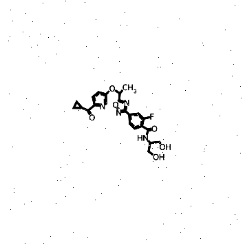 CC(Oc1ccc(C(=O)C2CC2)nc1)c1nc(-c2ccc(C(=O)NC(CO)CO)c(F)c2)no1